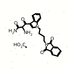 CC(=O)O.NC(=O)C(N)C(=O)c1cn(CCCCN2C(=O)c3ccccc3C2=O)c2ccccc12